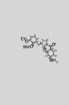 CCOc1cccc(C=C2CCc3c2oc2cc(N)ccc2c3=O)c1OC